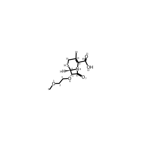 COCCO[C@H]1C(=O)N2C(C(=O)O)=C(C)CS[C@@H]12